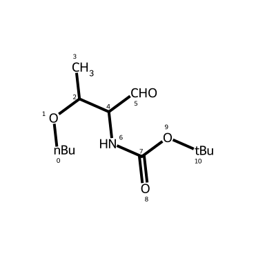 CCCCOC(C)C(C=O)NC(=O)OC(C)(C)C